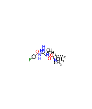 COCC(CN(C)C)OC(=O)N1Cc2c(NC(=O)c3ccc(F)cc3)n[nH]c2C1(C)C